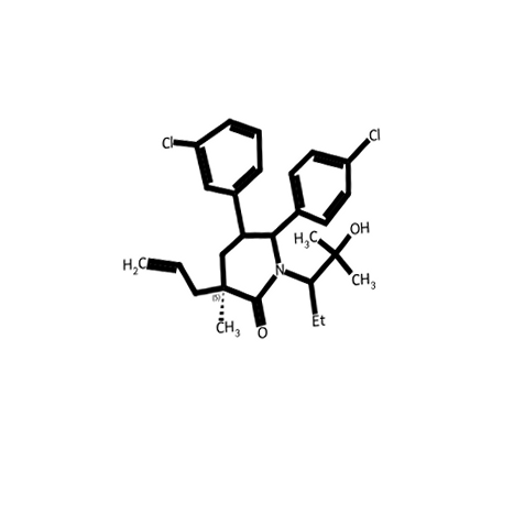 C=CC[C@@]1(C)CC(c2cccc(Cl)c2)C(c2ccc(Cl)cc2)N(C(CC)C(C)(C)O)C1=O